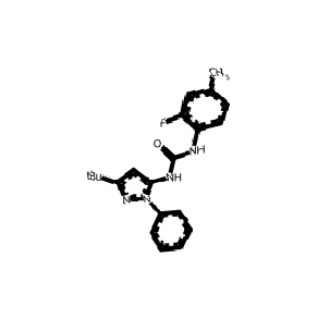 Cc1ccc(NC(=O)Nc2cc(C(C)(C)C)nn2-c2ccccc2)c(F)c1